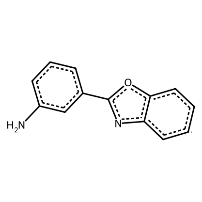 Nc1cccc(-c2nc3c[c]ccc3o2)c1